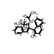 CC(=O)OC(C(=Cc1cccnc1)c1c(Cl)ccc2ccccc12)C(C)(C)C